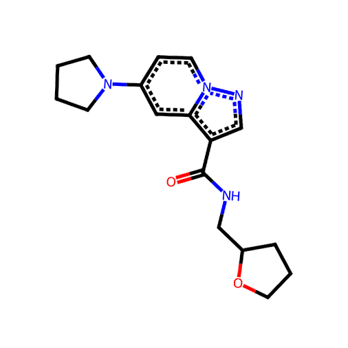 O=C(NCC1CCCO1)c1cnn2ccc(N3CCCC3)cc12